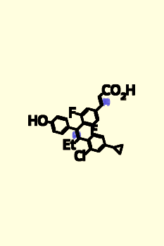 CC/C(=C(\c1ccc(O)cc1)c1c(F)cc(/C=C/C(=O)O)cc1F)c1ccc(C2CC2)cc1Cl